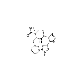 C=C(C(N)=O)C(Cc1ccccc1)NC(=O)c1nsnc1-c1cc[nH]c1